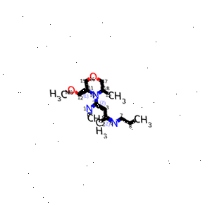 C=N/C(=C\C(C)=N/CCC)N1/C(=C/OC)COCC1C